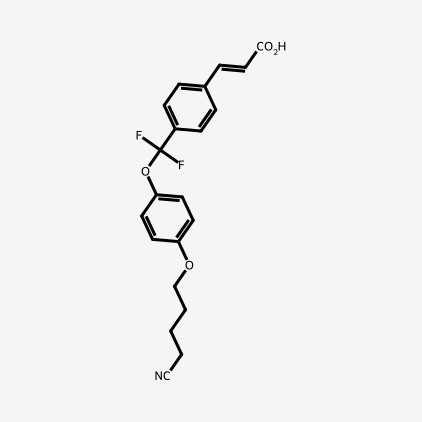 N#CCCCCOc1ccc(OC(F)(F)c2ccc(C=CC(=O)O)cc2)cc1